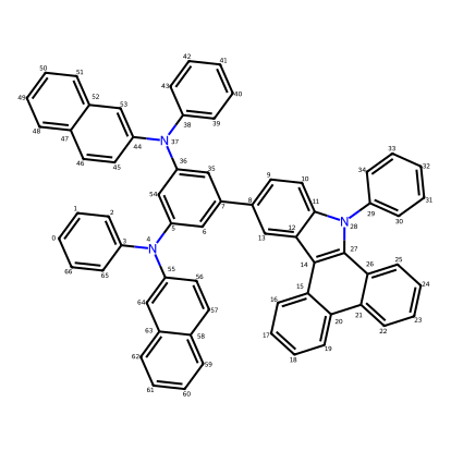 c1ccc(N(c2cc(-c3ccc4c(c3)c3c5ccccc5c5ccccc5c3n4-c3ccccc3)cc(N(c3ccccc3)c3ccc4ccccc4c3)c2)c2ccc3ccccc3c2)cc1